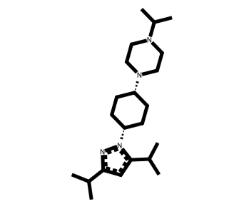 CC(C)c1cc(C(C)C)n([C@H]2CC[C@@H](N3CCN(C(C)C)CC3)CC2)n1